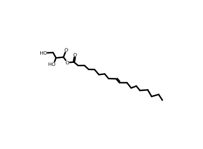 CCCCCCCC/C=C/CCCCCCCC(=O)OC([O])C(O)CO